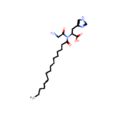 CCCCCCCCCCCCCCCC(=O)N(C(=O)CN)C(Cc1c[nH]cn1)C(=O)O